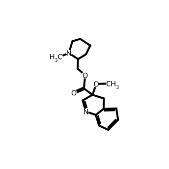 COC1(C(=O)OCC2CCCCN2C)C=Nc2ccccc2C1